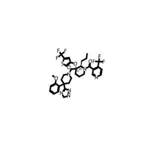 CCC[C@H]1N(C(=O)c2cnccc2C(F)(F)F)CCC[C@@]1(Oc1csc(C(F)(F)F)c1)C(=O)N1CCC(C2=NCN=N2)(c2ccccc2OC)CC1